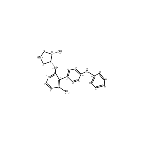 Nc1ncnc(N[C@@H]2CNC[C@@H]2O)c1-c1ccc(Oc2ccccc2)cc1